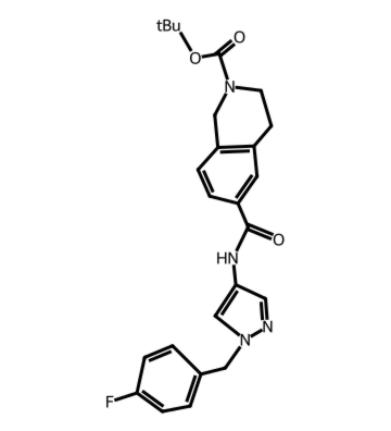 CC(C)(C)OC(=O)N1CCc2cc(C(=O)Nc3cnn(Cc4ccc(F)cc4)c3)ccc2C1